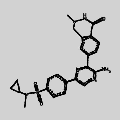 CN1Cc2cc(-c3nc(-c4ccc(S(=O)(=O)N(C)C5CC5)cc4)cnc3N)ccc2C(=O)N1